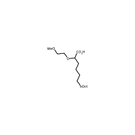 CCCCCCCCCCCCC(OCCOC)C(=O)O